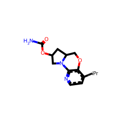 CC(C)c1ccnc2c1OCC1CC(OC(N)=O)CN21